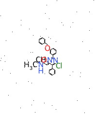 CC(C)NC(=O)Cc1nc(-c2cccc(OCc3ccccc3)c2)nc(Cl)c1-c1ccccc1